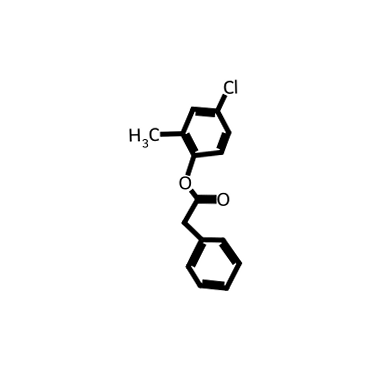 Cc1cc(Cl)ccc1OC(=O)Cc1ccccc1